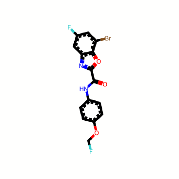 O=C(Nc1ccc(OCF)cc1)c1nc2cc(F)cc(Br)c2o1